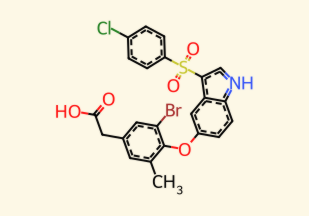 Cc1cc(CC(=O)O)cc(Br)c1Oc1ccc2[nH]cc(S(=O)(=O)c3ccc(Cl)cc3)c2c1